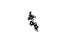 CCCCS(=O)(=O)NC(Oc1cccc2c1OC1CCCC21)C(=O)O